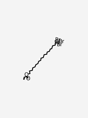 C=CC(=O)OCCCCCCCCCCCCCCCCCCCC[Si](Br)(Br)Br